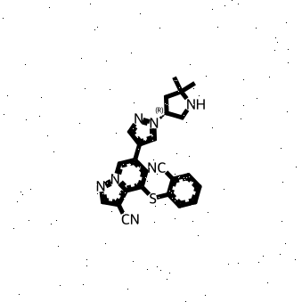 CC1(C)C[C@@H](n2cc(-c3cc(Sc4ccccc4C#N)c4c(C#N)cnn4c3)cn2)CN1